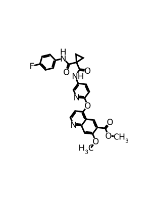 COC(=O)c1cc2c(Oc3ccc(NC(=O)C4(C(=O)Nc5ccc(F)cc5)CC4)cn3)ccnc2cc1OC